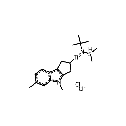 Cc1ccc2c3c(n(C)c2c1)C[CH]([Ti+2][N]([SiH](C)C)C(C)(C)C)C3.[Cl-].[Cl-]